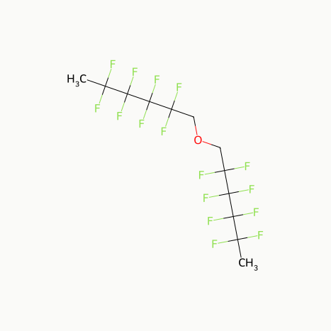 CC(F)(F)C(F)(F)C(F)(F)C(F)(F)COCC(F)(F)C(F)(F)C(F)(F)C(C)(F)F